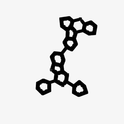 c1ccc(-c2nc(-c3ccccc3)c3oc4ccc(-c5ccc6c(c5)c5cccc7c5n6-c5ccccc5O7)cc4c3n2)cc1